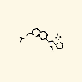 CC(=O)O[C@H](C)c1ccc2ccc(/C=C/[C@]3(C(=O)O)CCCN3S(C)(=O)=O)cc2n1